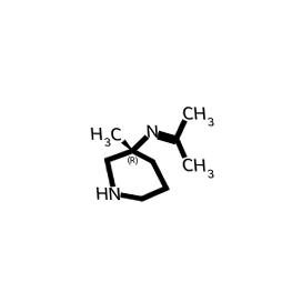 CC(C)=N[C@]1(C)CCCNC1